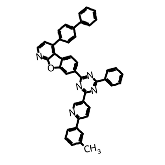 Cc1cccc(-c2ccc(-c3nc(-c4ccccc4)nc(-c4ccc5c(c4)oc4nccc(-c6ccc(-c7ccccc7)cc6)c45)n3)cn2)c1